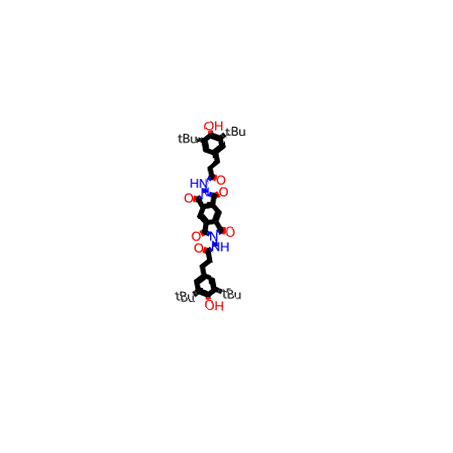 CC(C)(C)c1cc(CCC(=O)Nn2c(=O)c3cc4c(=O)n(NC(=O)CCc5cc(C(C)(C)C)c(O)c(C(C)(C)C)c5)c(=O)c4cc3c2=O)cc(C(C)(C)C)c1O